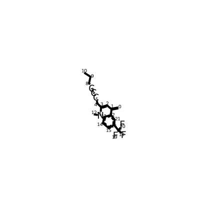 C=C1C=C(CCCCCCC)N(C)c2ccc(C(F)(F)F)cc21